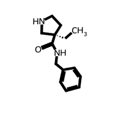 CC[C@@]1(C(=O)NCc2ccccc2)CCNC1